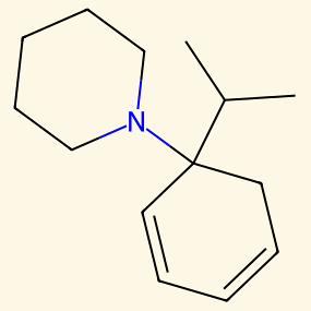 CC(C)C1(N2CCCCC2)C=CC=CC1